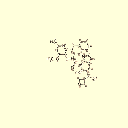 COc1cc(C)nc(OCc2ccccc2)c1CN1CCn2ccc3cc(C(O)C4COC4)c(Cl)c(c32)C1=O